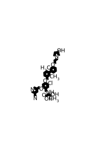 Cc1c(COc2cc(OCc3cncc(C#N)c3)c(CN[C@H](C(=O)O)C(C)O)cc2Cl)cccc1-c1cccc(OCCCN2CC[C@@H](O)C2)c1C